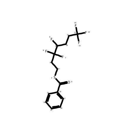 O=C(SCCC(F)(F)C(F)CCC(F)(F)F)c1ccccc1